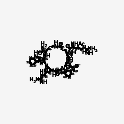 CC(=O)N[C@@H](CCCNC(=N)N)C(=O)N[C@H]1CCC(=O)NCCC[C@@H](C(N)=O)NC(=O)[C@H](Cc2c[nH]c3ccccc23)NC(=O)[C@H](CCCNC(=N)N)NC(=O)[C@@H](Cc2ccccc2)NC(=O)[C@H](CC[S+](C)[O-])NC1=O